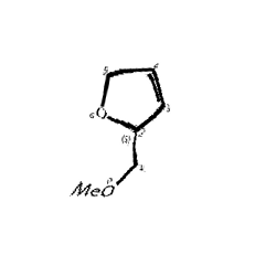 COC[C@@H]1C=CCO1